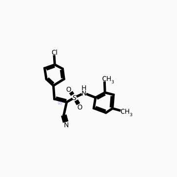 Cc1ccc(NS(=O)(=O)/C(C#N)=C\c2ccc(Cl)cc2)c(C)c1